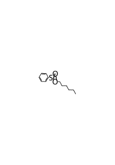 CCCCCC[O][Sn](=[O])[c]1ccccc1